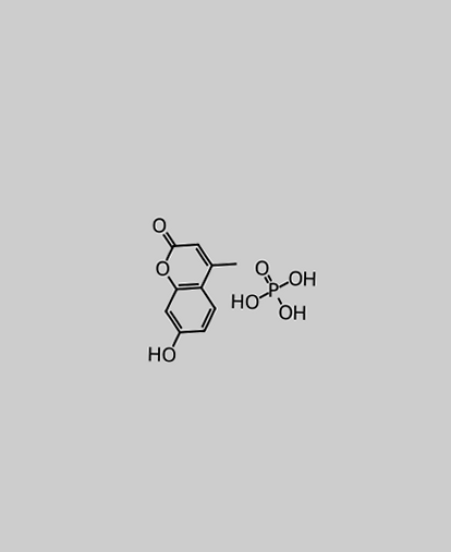 Cc1cc(=O)oc2cc(O)ccc12.O=P(O)(O)O